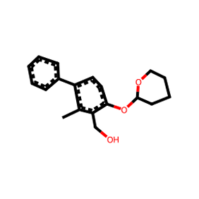 Cc1c(-c2ccccc2)ccc(OC2CCCCO2)c1CO